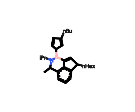 CCCCCCC1C=C2B(C3C=CC(CCCC)=C3)N(C(C)C)C(C)c3cccc1c32